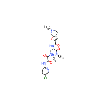 CN1CCc2cc(C(=O)NC(CNC(=O)C(=O)Nc3ccc(Cl)cn3)C(=O)N(C)C)oc2C1